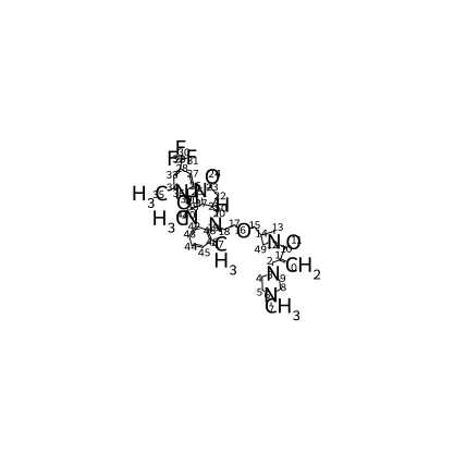 C=C(CN1CCN(C)CC1)C(=O)N1CC(COCCN2C[C@H]3CC(=O)N(c4cc(C(F)(F)F)cc(C)n4)[C@@H]3C(=O)N(C)c3cccc(C)c32)C1